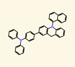 c1ccc(N(c2ccccc2)c2ccc(-c3ccc4c(c3)Cc3ccccc3N4c3cccc4ccccc34)cc2)cc1